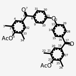 CC(=O)Oc1c(C)cc(C(=O)c2ccc(Oc3ccc(C(=O)c4cc(C)c(OC(C)=O)c(C)c4)cc3)cc2)cc1C